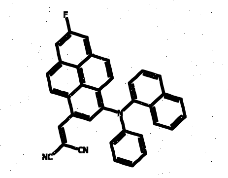 N#CC(C#N)=Cc1cc(N(c2ccccc2)c2cccc3ccccc23)c2ccc3cc(F)cc4ccc1c2c43